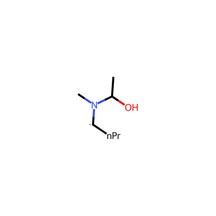 CCC[CH]N(C)C(C)O